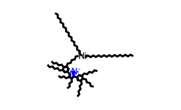 CCCCCCCCCCCCCCCCCC=[CH][Ni][CH]=CCCCCCCCCCCCCCCCCC.CCCCCCc1cc(C2=C(CCCC)C(CCCC)=C(c3cc(CCCCCC)c(CCCCC)c(CCCCCC)c3)[N+]2=[N-])cc(CCCCCC)c1CCCCC